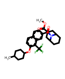 COC(=O)C1CC2CCCC(C1)N2C(=O)c1ccc2ccc(OC3CCC(C)CC3)c(C(F)(F)F)c2c1